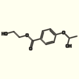 CC(O)Oc1ccc(C(=O)OCCO)cc1